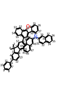 CC1(C)c2cc(-c3ccccc3)ccc2-c2ccc(-c3cc4c(oc5cccc(N(c6ccc7ccccc7c6)c6ccc7ccccc7c6)c54)c4ccccc34)cc21